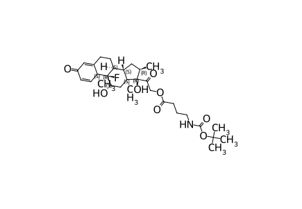 C[C@@H]1C[C@H]2[C@@H]3CCC4=CC(=O)C=C[C@]4(C)[C@@]3(F)[C@@H](O)C[C@]2(C)[C@@]1(O)C(=O)COC(=O)CCCNC(=O)OC(C)(C)C